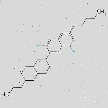 CC=CCCc1cc(F)c2cc(C3CCC4CC(CCC)CCC4C3)c(F)cc2c1